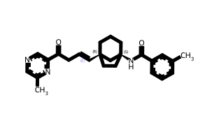 Cc1cccc(C(=O)N[C@@]23CCC[C@@](/C=C/CC(=O)c4cncc(C)n4)(CC2)C3)c1